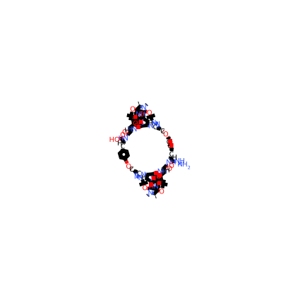 C[C@@H](C(=O)N[C@H](C(=O)N1CC[C@@H]2[C@H]1C(=O)N[C@@H](Cc1ccc3ccccc3c1)C(=O)N[C@H](C(=O)O)Cc1ccc(cc1)OCc1cn(nn1)[C@@H]1CCN(C(=O)[C@@H](NC(=O)[C@H](C)N(C)C(=O)OC(C)(C)C)C(C)(C)C)[C@@H]1C(=O)N[C@@H](Cc1ccc3ccccc3c1)C(=O)N[C@H](C(=O)NN)Cc1ccc(cc1)OCc1cn2nn1)C(C)(C)C)N(C)C(=O)OC(C)(C)C